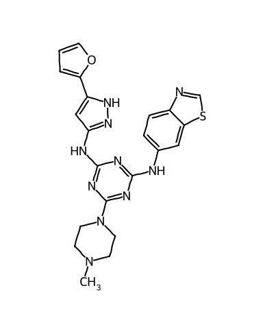 CN1CCN(c2nc(Nc3ccc4ncsc4c3)nc(Nc3cc(-c4ccco4)[nH]n3)n2)CC1